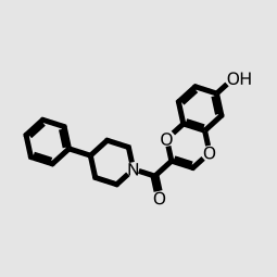 O=C(C1=COc2cc(O)ccc2O1)N1CCC(c2ccccc2)CC1